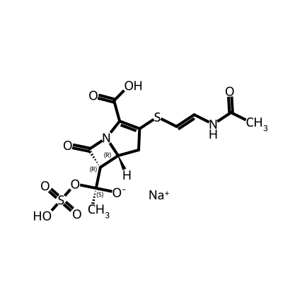 CC(=O)NC=CSC1=C(C(=O)O)N2C(=O)[C@@H]([C@@](C)([O-])OS(=O)(=O)O)[C@H]2C1.[Na+]